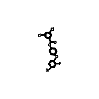 O=C(Oc1ccc(Oc2ccc(Br)cc2F)cc1)c1cc(Cl)cc(Cl)c1